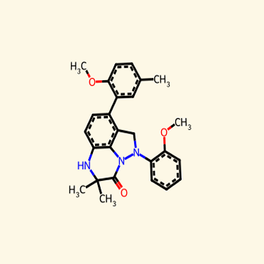 COc1ccc(C)cc1-c1ccc2c3c1CN(c1ccccc1OC)N3C(=O)C(C)(C)N2